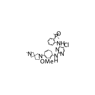 COC1=C(Nc2ncc(Cl)c(Nc3ccccc3P(C)(C)=O)n2)CC=CC(N2CCC3(CN(C)C3)C2)=C1